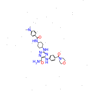 CN(C)c1ccc(C(=O)NC2CCC(Nc3nnc(C(N)=O)c(Nc4ccc(C(=O)N5CCOCC5)cc4)n3)CC2)cc1